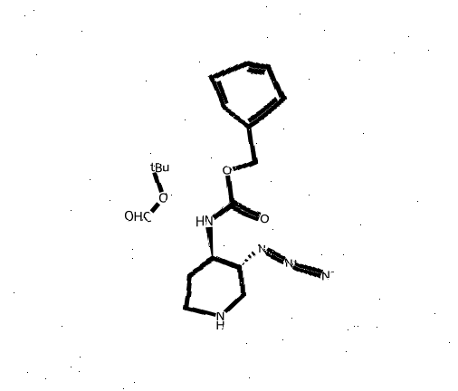 CC(C)(C)OC=O.[N-]=[N+]=N[C@@H]1CNCC[C@H]1NC(=O)OCc1ccccc1